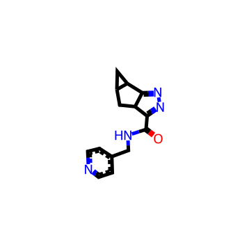 O=C(NCc1ccncc1)C1=NN=C2C1CC1CC21